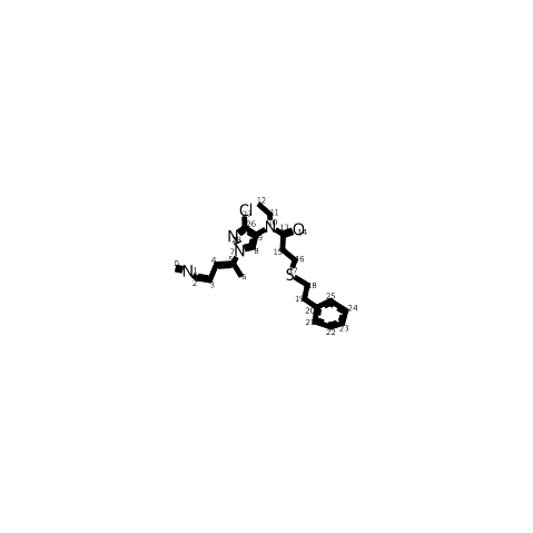 C=N/C=C\C=C(/C)n1cc(N(CC)C(=O)CCSCCc2ccccc2)c(Cl)n1